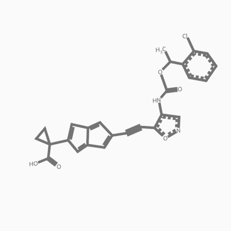 CC(OC(=O)Nc1cnoc1C#CC1=CC2=CC(C3(C(=O)O)CC3)=CC2=C1)c1ccccc1Cl